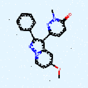 COc1ccn2nc(-c3ccccc3)c(-c3ccc(=O)n(C)n3)c2c1